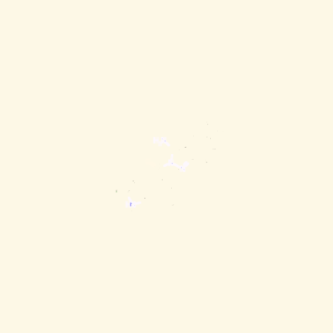 Nc1c2c(nn1C(=O)C1CCCc3[nH]c(Cl)cc31)CCC1(CC1)C2